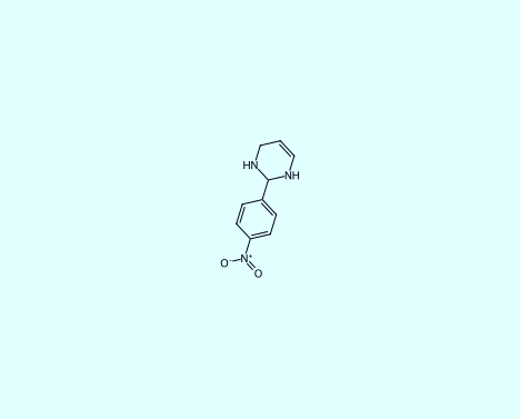 O=[N+]([O-])c1ccc(C2NC=CCN2)cc1